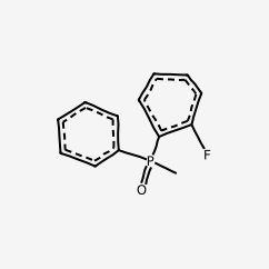 CP(=O)(c1ccccc1)c1ccccc1F